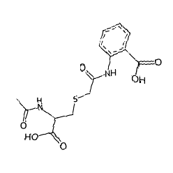 CC(=O)NC(CSCC(=O)Nc1ccccc1C(=O)O)C(=O)O